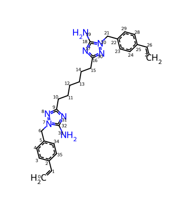 C=Cc1ccc(Cn2nc(CCCCCCc3nc(N)n(Cc4ccc(C=C)cc4)n3)nc2N)cc1